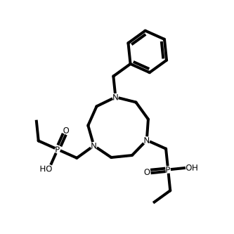 CCP(=O)(O)CN1CCN(Cc2ccccc2)CCN(CP(=O)(O)CC)CC1